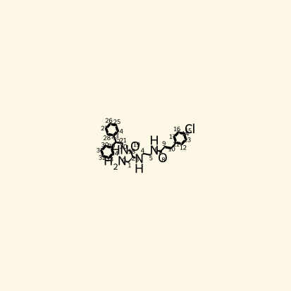 NC[C@H](NCCNC(=O)/C=C/c1ccc(Cl)cc1)C(=O)NCC(c1ccccc1)c1ccccc1